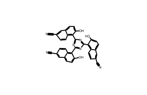 N#Cc1ccc2c(-c3nc(-c4c(O)ccc5cc(C#N)ccc45)nc(-c4c(O)ccc5cc(C#N)ccc45)n3)c(O)ccc2c1